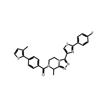 Cc1ccsc1-c1ccc(C(=O)N2CCn3c(-c4csc(-c5ccc(F)cc5)n4)nnc3C2C)cc1